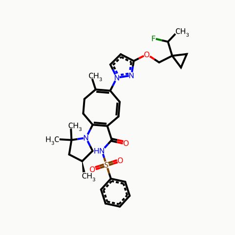 C/C1=C(n2ccc(OCC3(C(C)F)CC3)n2)/C=C\C(C(=O)NS(=O)(=O)c2ccccc2)=C(\N2C[C@@H](C)CC2(C)C)CC1